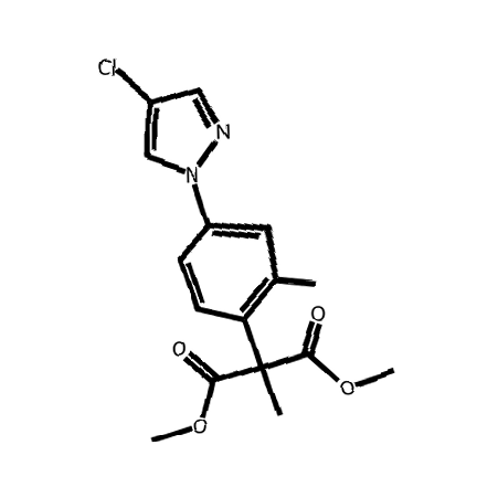 COC(=O)C(C)(C(=O)OC)c1ccc(-n2cc(Cl)cn2)cc1C